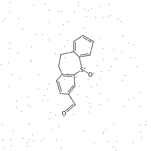 O=Cc1ccc2c(c1)[S+]([O-])c1ccccc1CC2